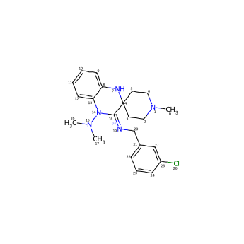 CN1CCC2(CC1)Nc1ccccc1N(N(C)C)/C2=N/Cc1cccc(Cl)c1